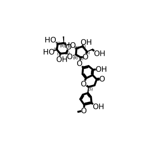 COc1ccc([C@@H]2CC(=O)c3c(O)cc(O[C@@H]4O[C@H](CO)[C@@H](O)[C@H](O)[C@H]4O[C@@H]4O[C@H](C)[C@@H](O)[C@H](O)[C@@H]4O)cc3O2)cc1O